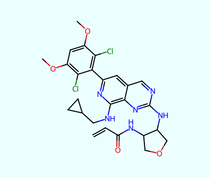 C=CC(=O)NC1COCC1Nc1ncc2cc(-c3c(Cl)c(OC)cc(OC)c3Cl)nc(NCC3CC3)c2n1